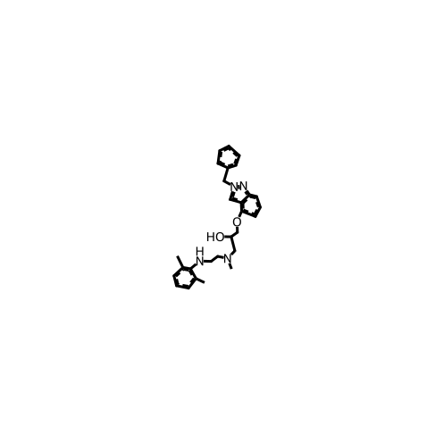 Cc1cccc(C)c1NCCN(C)CC(O)COc1cccc2nn(Cc3ccccc3)cc12